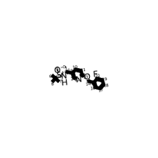 C[C@@H](N[S@+]([O-])C(C)(C)C)c1ccc(OCc2ccccc2F)nc1